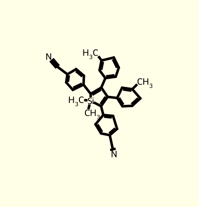 Cc1cccc(C2=C(c3ccc(C#N)cc3)[Si](C)(C)C(c3ccc(C#N)cc3)=C2c2cccc(C)c2)c1